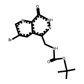 CC(C)(C)OC(=O)NCc1n[nH]c(=O)c2ncc(Br)cc12